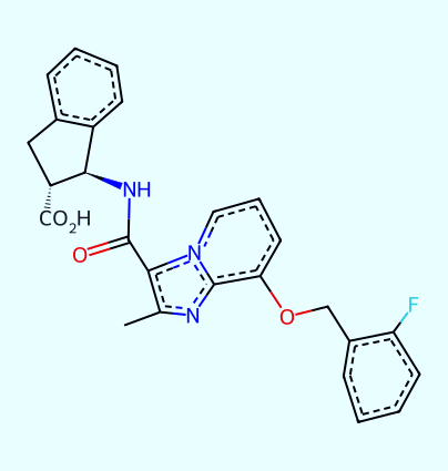 Cc1nc2c(OCc3ccccc3F)cccn2c1C(=O)N[C@@H]1c2ccccc2C[C@H]1C(=O)O